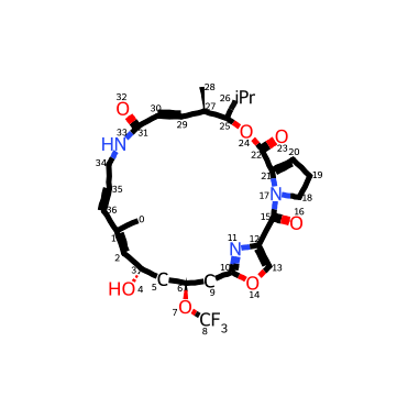 CC1=C\[C@@H](O)C[C@H](OC(F)(F)F)Cc2nc(co2)C(=O)N2CCC=C2C(=O)OC(C(C)C)[C@H](C)/C=C/C(=O)NC\C=C\1